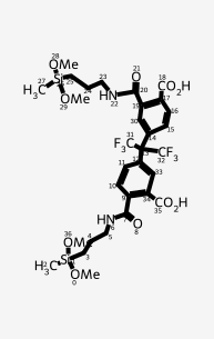 CO[Si](C)(CCCNC(=O)c1ccc(C(c2ccc(C(=O)O)c(C(=O)NCCC[Si](C)(OC)OC)c2)(C(F)(F)F)C(F)(F)F)cc1C(=O)O)OC